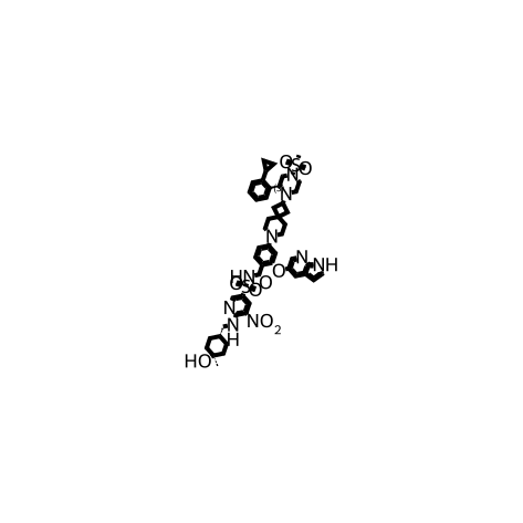 CS(=O)(=O)N1CCN(C2CC3(CCN(c4ccc(C(=O)NS(=O)(=O)c5cnc(NC[C@H]6CC[C@](C)(O)CC6)c([N+](=O)[O-])c5)c(Oc5cnc6[nH]ccc6c5)c4)CC3)C2)[C@@H](c2ccccc2C2CC2)C1